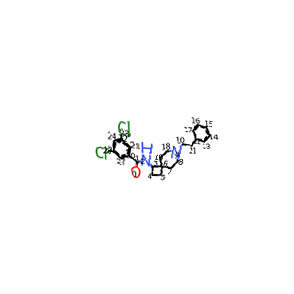 O=C(NC1CCC12CCN(CCc1ccccc1)CC2)c1cc(Cl)cc(Cl)c1